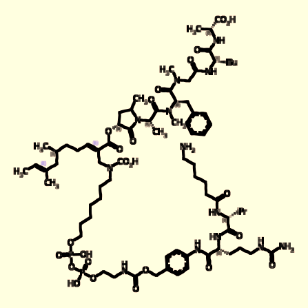 C/C=C(\C)C[C@@H](C)CC/C=C(\CN(CCCCCCCOP(=O)(O)OP(=O)(O)OCCNC(=O)OCc1ccc(NC(=O)[C@@H](CCCNC(N)=O)NC(=O)[C@H](NC(=O)CCCCCN)C(C)C)cc1)C(=O)O)C(=O)O[C@@H]1CC(C)N([C@@H](C)C(=O)N(C)[C@H](Cc2ccccc2)C(=O)N(C)CC(=O)N[C@H](C(=O)N[C@H](C)C(=O)O)C(C)CC)C1=O